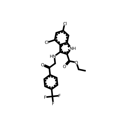 CCOC(=O)c1[nH]c2cc(Cl)cc(Cl)c2c1NCC(=O)c1ccc(C(F)(F)F)cc1